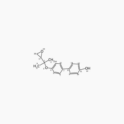 CC(C)(Oc1ccc(-c2ccc(O)cc2)cc1)C1CO1